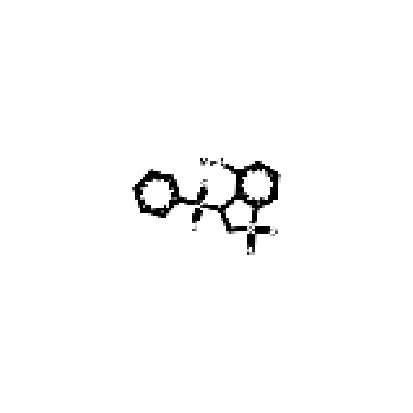 COc1cccc2c1C(S(=O)(=O)c1ccccc1)CS2(=O)=O